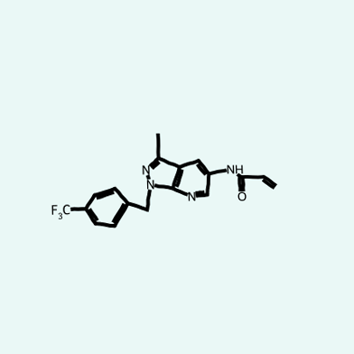 C=CC(=O)Nc1cnc2c(c1)c(C)nn2Cc1ccc(C(F)(F)F)cc1